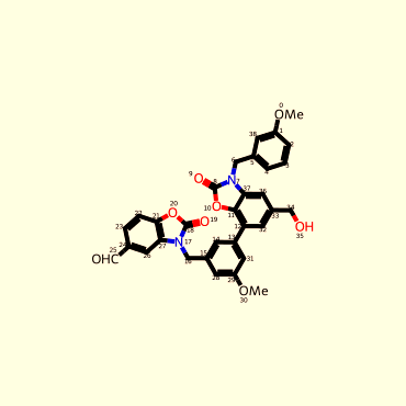 COc1cccc(Cn2c(=O)oc3c(-c4cc(Cn5c(=O)oc6ccc(C=O)cc65)cc(OC)c4)cc(CO)cc32)c1